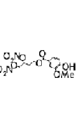 COc1cc(C(=O)OCCC(CO[N+](=O)[O-])O[N+](=O)[O-])ccc1O